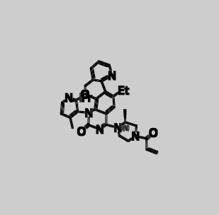 C=CC(=O)N1CCN(c2nc(=O)n(-c3c(C)ccnc3C(C)C)c3c4c(c(CC)cc23)-c2ncccc2CO4)[C@@H](C)C1